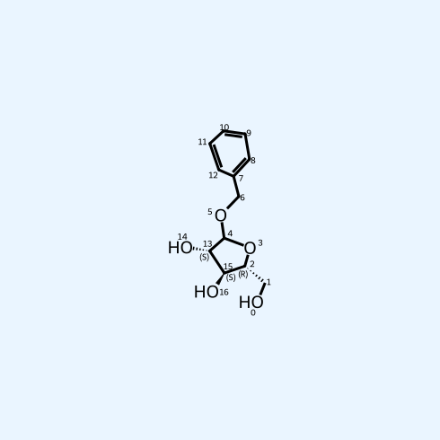 OC[C@H]1OC(OCc2ccccc2)[C@@H](O)[C@@H]1O